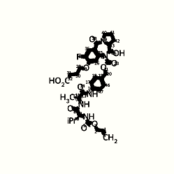 C=CCOC(=O)N[C@H](C(=O)N[C@@H](C)C(=O)Nc1ccc(COC(=O)N2c3cc(OCCCC(=O)O)c(F)cc3C(=O)N3CCCC3C2O)cc1)C(C)C